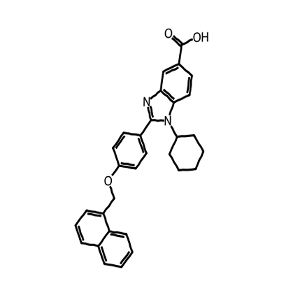 O=C(O)c1ccc2c(c1)nc(-c1ccc(OCc3cccc4ccccc34)cc1)n2C1CCCCC1